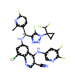 Cc1nc(F)ccc1[C@H](Nc1cc(Cl)c2ncc(C#N)c(Nc3cnc(F)c(F)c3)c2c1)c1nnn(C2(C(F)F)CC2)c1F